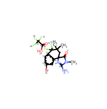 CN1C(=O)C2(CC(C)(C)C(F)(F)c3ccc(Br)cc32)N=C1N.O=C(O)C(F)(F)F